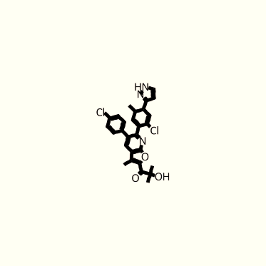 Cc1c(C(=O)C(C)(C)O)oc2nc(C3=CC(C)C(c4cc[nH]n4)C=C3Cl)c(-c3ccc(Cl)cc3)cc12